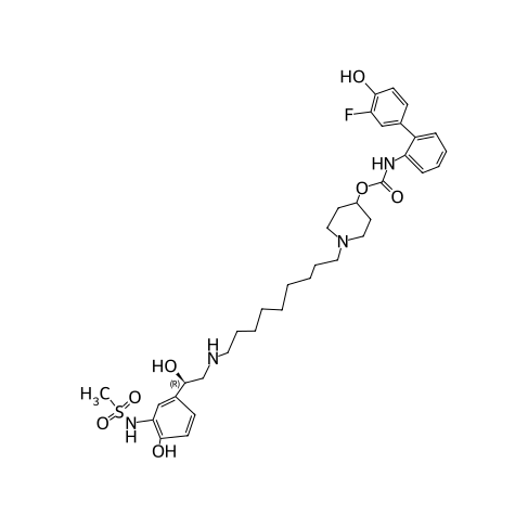 CS(=O)(=O)Nc1cc([C@@H](O)CNCCCCCCCCCN2CCC(OC(=O)Nc3ccccc3-c3ccc(O)c(F)c3)CC2)ccc1O